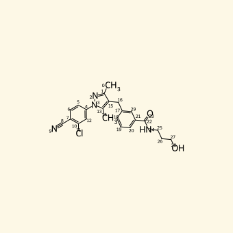 Cc1nn(-c2ccc(C#N)c(Cl)c2)c(C)c1Cc1cccc(C(=O)NCCCO)c1